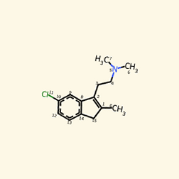 CC1=C(CCN(C)C)c2cc(Cl)ccc2C1